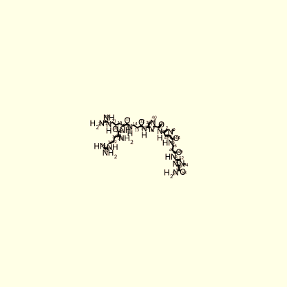 Cn1cc(NC(=O)c2nc(NC(=O)CCNC(=O)[C@H](CCCNC(=N)N)NC(=O)[C@@H](N)CCCNC(=N)N)cn2C)cc1C(=O)NCCC(=O)Nc1cn(C)c(C(N)=O)n1